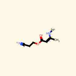 [2H]N/C(C)=C\C(=O)OCCC#N